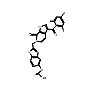 O=C(O)Oc1ccc2[nH]c(Cn3ccc4c(C(=O)c5c(F)cc(F)cc5F)c[nH]c4c3=O)nc2c1